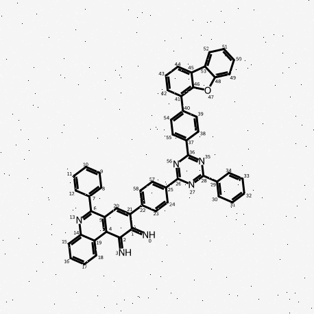 N=C1C(=N)c2c(c(-c3ccccc3)nc3ccccc23)C=C1c1ccc(-c2nc(-c3ccccc3)nc(-c3ccc(-c4cccc5c4oc4ccccc45)cc3)n2)cc1